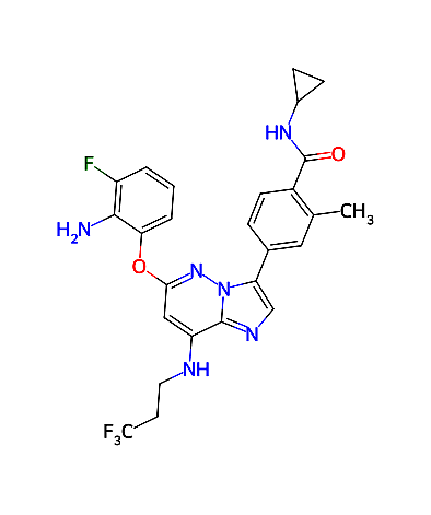 Cc1cc(-c2cnc3c(NCCC(F)(F)F)cc(Oc4cccc(F)c4N)nn23)ccc1C(=O)NC1CC1